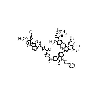 C=CN(c1c(C)cc(-c2ccc3c(c2)N(C2CC(N4CCCCC4)C2)C(=O)C32CCN(C(=O)C3CCN(C(=O)C4CC(Nc5cccc6c5C(=O)N(C(CCC=O)C(=O)NC)C6=O)C4)C3)CC2)nc1Nc1cc(C(=O)NC(C)C)c(C)cc1F)C(C)C